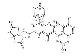 C#Cc1c(F)ccc2cc(O)cc(-c3ncc4c(N5C6C=CC5CNC6)nc(OC[C@]56CC(=C)CN5C[C@@H](F)C6)nc4c3F)c12